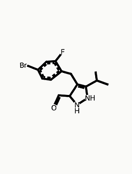 CC(C)C1=C(Cc2ccc(Br)cc2F)C(C=O)NN1